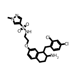 Cn1cc(S(=O)(=O)NCCOc2ccc3c(c2)C(Cc2ccc(Cl)cc2Cl)C(N)CC3)cn1